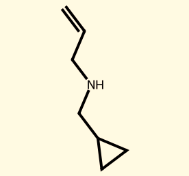 C=CCNCC1CC1